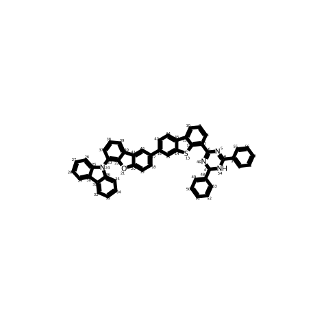 c1ccc(C2=NC(c3cccc4c3sc3cc(-c5ccc6oc7c(-n8c9ccccc9c9ccccc98)cccc7c6c5)ccc34)=NC(c3ccccc3)N2)cc1